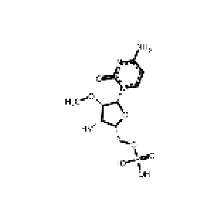 CO[C@H]1[C@@H](S)[C@@H](COP(=O)(O)O)O[C@H]1n1ccc(N)nc1=O